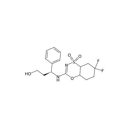 O=S1(=O)N=C(N[C@@H](CCO)c2ccccc2)OC2CCC(F)(F)CC21